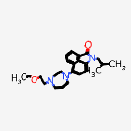 CCOCCN1CCCN(c2ccc3c4c(cccc24)C(=O)N3CC(C)C)CC1